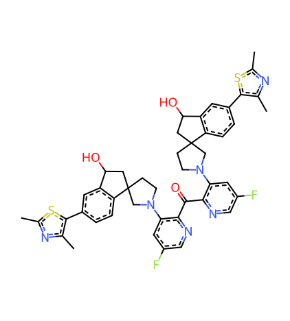 Cc1nc(C)c(-c2ccc3c(c2)C(O)CC32CCN(c3cc(F)cnc3C(=O)c3ncc(F)cc3N3CCC4(CC(O)c5cc(-c6sc(C)nc6C)ccc54)C3)C2)s1